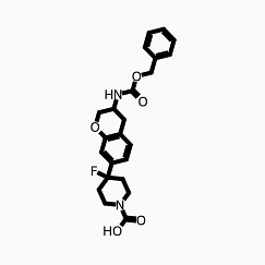 O=C(NC1COc2cc(C3(F)CCN(C(=O)O)CC3)ccc2C1)OCc1ccccc1